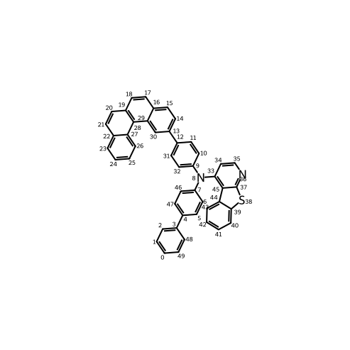 c1ccc(-c2ccc(N(c3ccc(-c4ccc5ccc6ccc7ccccc7c6c5c4)cc3)c3ccnc4sc5ccccc5c34)cc2)cc1